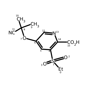 CCS(=O)(=O)c1cc(OC(C)(C)C#N)cnc1C(=O)O